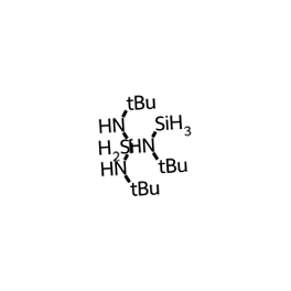 CC(C)(C)N[SiH2]NC(C)(C)C.CC(C)(C)N[SiH3]